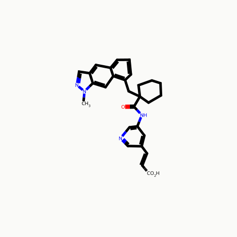 Cn1ncc2cc3cccc(CC4(C(=O)Nc5cncc(/C=C/C(=O)O)c5)CCCCC4)c3cc21